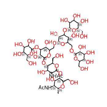 CC(=O)N[C@H]1C(O)[C@H](O[C@@H]2OC(CO[C@H]3OC(CO[C@H]4OC(CO)[C@@H](O)C(O)[C@H]4O)[C@@H](O)C(O[C@H]4O[C@@H](CO)[C@@H](O)C(O)C4O)[C@H]3O)[C@@H](O)C(O[C@H]3O[C@@H](CO)[C@@H](O)C(O)C3O)[C@H]2O)C(CO)O[C@H]1O[C@@H]1C(CO)O[C@@H](C)[C@@H](NC(C)=O)C1O